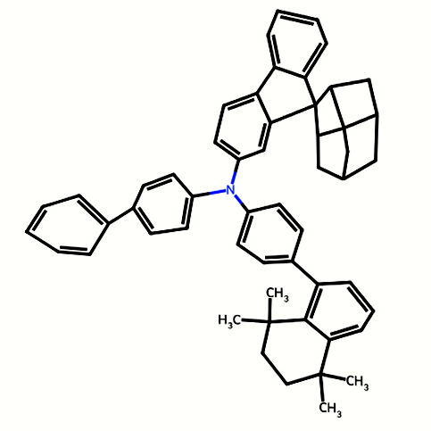 CC1(C)CCC(C)(C)c2c(-c3ccc(N(c4ccc(-c5ccccc5)cc4)c4ccc5c(c4)C4(c6ccccc6-5)C5CC6CC7CC4C75C6)cc3)cccc21